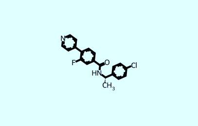 C[C@H](NC(=O)c1ccc(-c2ccncc2)c(F)c1)c1ccc(Cl)cc1